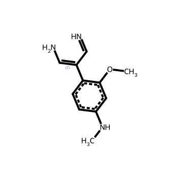 CNc1ccc(/C(C=N)=C/N)c(OC)c1